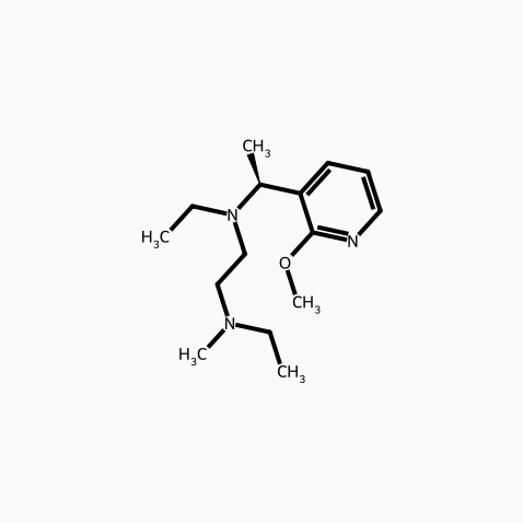 CCN(C)CCN(CC)[C@@H](C)c1cccnc1OC